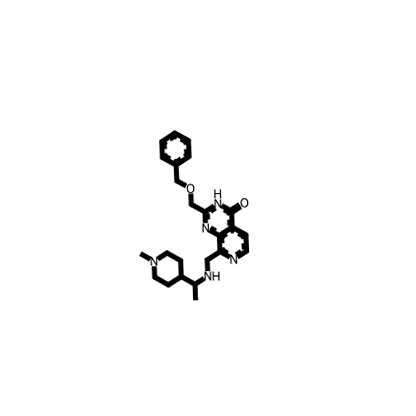 CC(NCc1nccc2c(=O)[nH]c(COCc3ccccc3)nc12)C1CCN(C)CC1